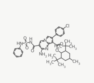 CC1CC(C(C)(C)C)C(OC(=O)c2c(-c3ccc(Cl)cc3)cn3cc(C(=O)NS(=O)(=O)Nc4ccccc4)c(N)nc23)C(C(C)(C)C)C1